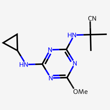 COc1nc(NC2CC2)nc(NC(C)(C)C#N)n1